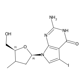 CC1C[C@H](n2cc(I)c3c(=O)[nH]c(N)nc32)O[C@@H]1CO